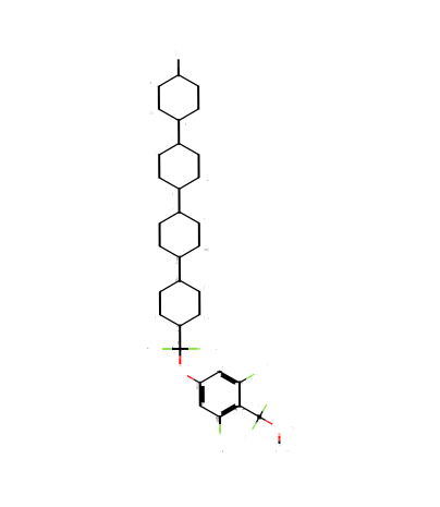 CCCC1CCC(C2CCC(C3CCC(C4CCC(C(F)(F)Oc5cc(F)c(C(F)(F)OC(F)(F)F)c(F)c5)CC4)CC3)CC2)CC1